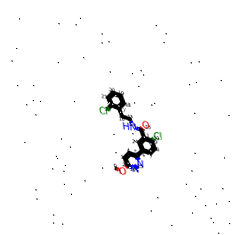 COc1ccc(-c2ccc(Cl)c(C(=O)NCCc3ccccc3Cl)c2)nn1